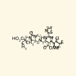 COC(=O)C1=C(CN2CCN3C(=O)N(CC(C)(C)C(=O)O)CC3C2)NC(c2nccs2)=N[C@H]1c1cccc(F)c1Cl